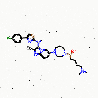 CCc1nc2ccc(N3CCCN([S+]([O-])CCCCN(C)C)CC3)cn2c1N(C)c1nc(-c2ccc(F)cc2)cs1